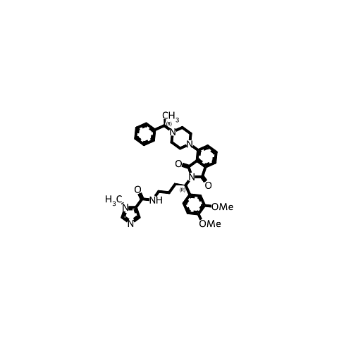 COc1ccc([C@@H](CCCNC(=O)c2cncn2C)N2C(=O)c3cccc(N4CCN([C@H](C)c5ccccc5)CC4)c3C2=O)cc1OC